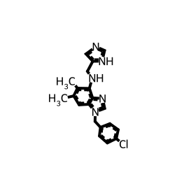 Cc1cc2c(ncn2Cc2ccc(Cl)cc2)c(NCc2cnc[nH]2)c1C